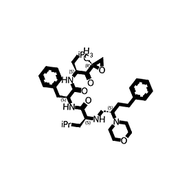 CC(C)C[C@H](NC[C@H](CCc1ccccc1)N1CCOCC1)C(=O)N[C@@H](Cc1ccccc1)C(=O)N[C@@H](CC(C)C)C(=O)[C@@]1(C)CO1